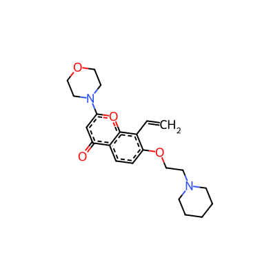 C=Cc1c(OCCN2CCCCC2)ccc2c(=O)cc(N3CCOCC3)oc12